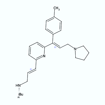 CC[C@@H](C)NC/C=C/c1cccc(/C(=C/CN2CCCC2)c2ccc(C)cc2)n1